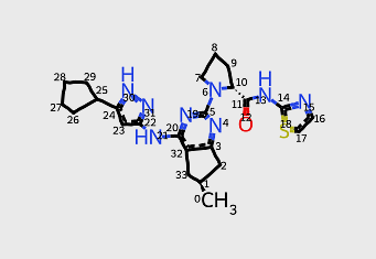 C[C@@H]1Cc2nc(N3CCC[C@@H]3C(=O)Nc3nccs3)nc(Nc3cc(C4CCCC4)[nH]n3)c2C1